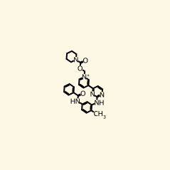 Cc1ccc(NC(=O)c2ccccc2)cc1Nc1nccc(-c2ccc[n+](COC(=O)N3CCCCC3)c2)n1